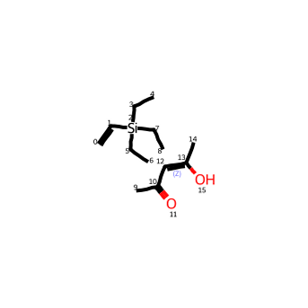 C=C[Si](CC)(CC)CC.CC(=O)/C=C(/C)O